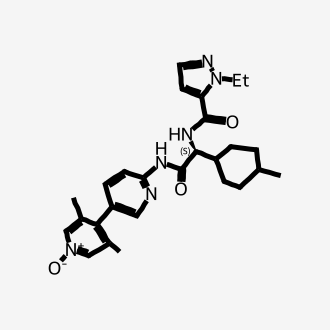 CCn1nccc1C(=O)N[C@H](C(=O)Nc1ccc(-c2c(C)c[n+]([O-])cc2C)cn1)C1CCC(C)CC1